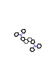 c1ccc(N(c2ccccc2)c2ccc3c(c2)C2=C(CC3)c3cc(N(c4ccccc4)c4ccccc4)ccc3CC2)cc1